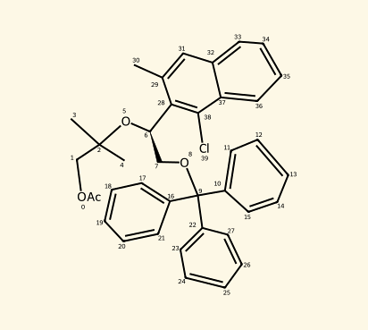 CC(=O)OCC(C)(C)O[C@H](COC(c1ccccc1)(c1ccccc1)c1ccccc1)c1c(C)cc2ccccc2c1Cl